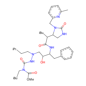 CCC(C)CN(C(=O)NN(CCC(C)C)CC(O)C(Cc1ccccc1)NC(=O)C(C(C)CC)C1CNC(=O)N1Cc1cccc(C)n1)C(=O)OC